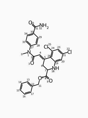 CN(C(=O)/C=C1\CC(C(=O)OCc2ccccc2)Nc2cc(Cl)cc(Cl)c21)c1ccc(C(N)=O)cc1